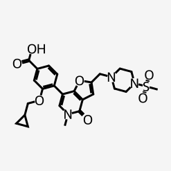 Cn1cc(-c2ccc(C(=O)O)cc2OCC2CC2)c2oc(CN3CCN(S(C)(=O)=O)CC3)cc2c1=O